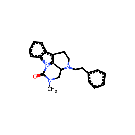 CN1CC2c3c(c4ccccc4n3C1=O)CCN2CCc1ccccc1